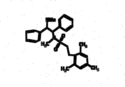 CNC(c1ccccc1)C(c1ccccc1)N(C)S(=O)(=O)CCc1c(C)cc(C)cc1C